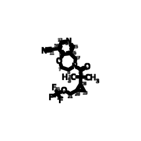 CC(C)(C(=O)N1CCOc2c(C#N)cncc2C1)C1CC1COC(F)(F)F